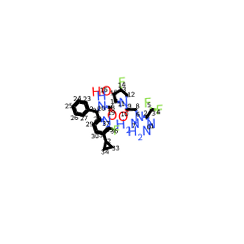 N/N=C(/C(F)F)N(N)CC(=O)N1C[C@H](F)[C@@H](O)[C@H]1C(=O)N[C@@H](c1ccccc1)c1ccc(C2CC2)c(F)n1